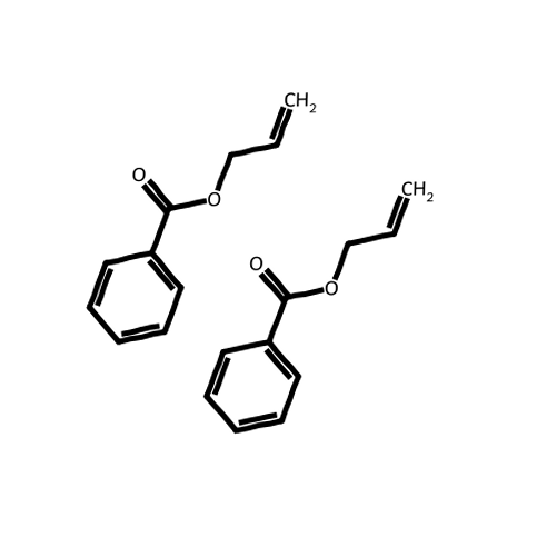 C=CCOC(=O)c1ccccc1.C=CCOC(=O)c1ccccc1